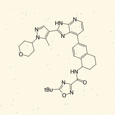 Cc1c(-c2nc3c(-c4ccc5c(c4)CCCC5NC(=O)c4noc(C(C)(C)C)n4)ccnc3[nH]2)cnn1C1CCOCC1